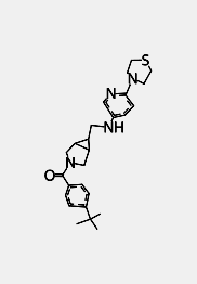 CC(C)(C)c1ccc(C(=O)N2CC3C(CNc4ccc(N5CCSCC5)nc4)C3C2)cc1